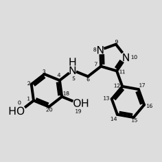 Oc1ccc(NCC2=NCN=C2c2ccccc2)c(O)c1